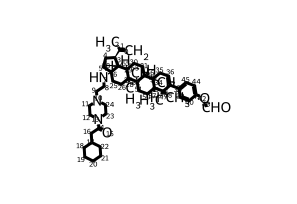 C=C(C)[C@@H]1CC[C@]2(NCCN3CCN(C(=O)CC4CCCCC4)CC3)CC[C@]3(C)[C@H](CC[C@@H]4[C@@]5(C)CC=C(c6ccc(OC=O)cc6)C(C)(C)[C@@H]5CC[C@]43C)[C@@H]12